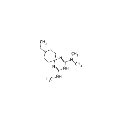 CCN1CCC2(CC1)N=C(NC)NC(N(C)C)=N2